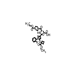 CCOC(=O)N1CCN(C(=O)[C@H](CCC(=O)O)NC(=O)c2cc(OC3(C(=O)OCC)CCC3)n(-c3ccccc3F)n2)CC1